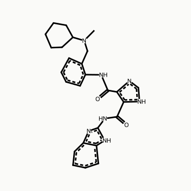 CN(Cc1ccccc1NC(=O)c1nc[nH]c1C(=O)Nc1nc2ccccc2[nH]1)C1CCCCC1